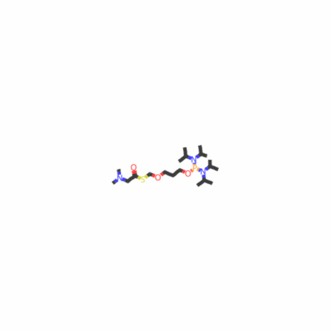 CC(C)N(C(C)C)P(OCCCOCSC(=O)CN(C)C)N(C(C)C)C(C)C